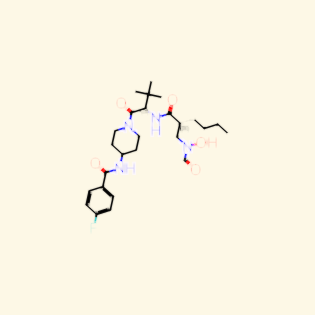 CCCC[C@H](CN(O)C=O)C(=O)N[C@H](C(=O)N1CCC(NC(=O)c2ccc(F)cc2)CC1)C(C)(C)C